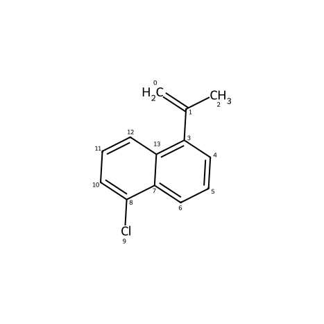 C=C(C)c1cccc2c(Cl)cccc12